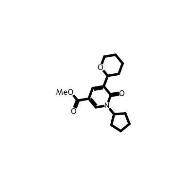 COC(=O)c1cc(C2CCCCO2)c(=O)n(C2CCCC2)c1